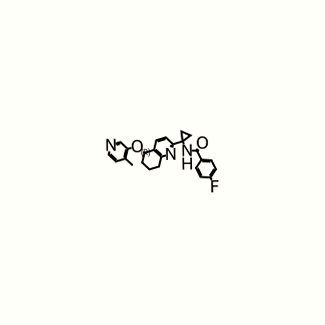 Cc1ccncc1O[C@@H]1CCCc2nc(C3(NC(=O)c4ccc(F)cc4)CC3)ccc21